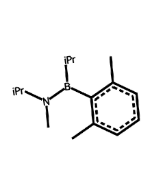 Cc1cccc(C)c1B(C(C)C)N(C)C(C)C